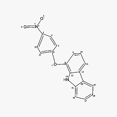 O=[N+]([O-])c1ccc(Oc2cccc3c2[nH]c2ccccc23)cc1